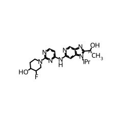 CC(C)n1c([C@@H](C)O)nc2cnc(Nc3ccnc(N4CCC(O)C(F)C4)n3)cc21